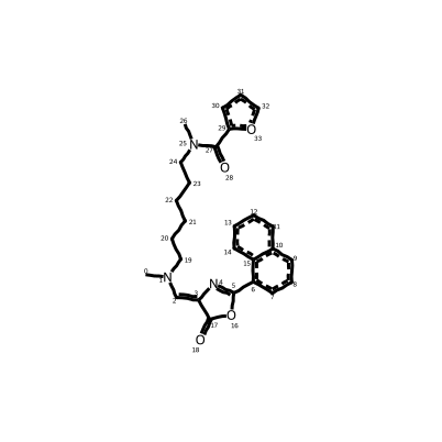 CN(C=C1N=C(c2cccc3ccccc23)OC1=O)CCCCCCN(C)C(=O)c1ccco1